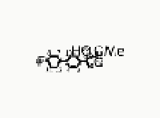 C=C(c1ccc(-c2ccc(F)cc2)cc1)C(O)C(=O)OC